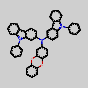 c1ccc(-n2c3ccccc3c3cc(N(c4ccc5c(c4)Oc4ccccc4O5)c4ccc5c6ccccc6n(-c6ccccc6)c5c4)ccc32)cc1